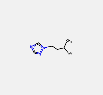 CCCC(C)CCn1cncn1